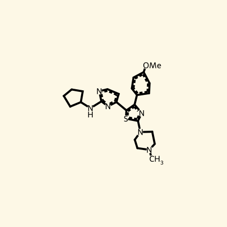 COc1ccc(-c2nc(N3CCN(C)CC3)sc2-c2ccnc(NC3CCCC3)n2)cc1